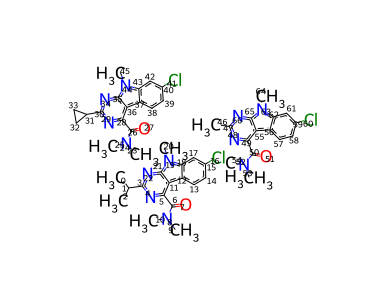 CC(C)c1nc(C(=O)N(C)C)c2c3ccc(Cl)cc3n(C)c2n1.CN(C)C(=O)c1nc(C2CC2)nc2c1c1ccc(Cl)cc1n2C.Cc1nc(C(=O)N(C)C)c2c3ccc(Cl)cc3n(C)c2n1